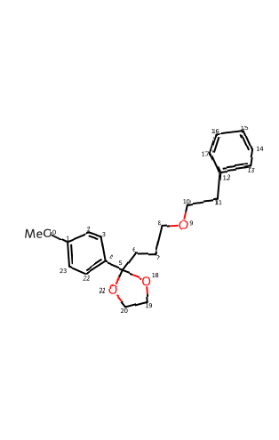 COc1ccc(C2(CCCOCCc3ccccc3)OCCO2)cc1